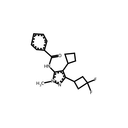 Cn1nc(C2CC(F)(F)C2)c(C2CCC2)c1NC(=O)c1ccccc1